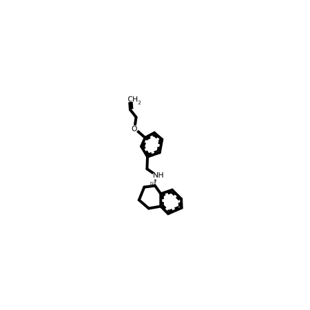 C=CCOc1cccc(CN[C@H]2CCCc3ccccc32)c1